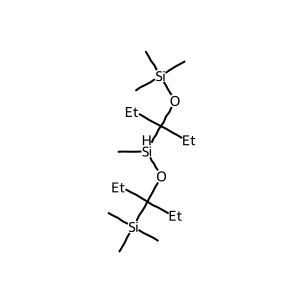 CCC(CC)(O[Si](C)(C)C)[SiH](C)OC(CC)(CC)[Si](C)(C)C